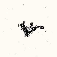 COC[C@@H](C)Nc1cc(OCCN2CCCC2)ccc1C(=O)Nc1nn(C(=O)OC)c2c1CN(S(=O)(=O)c1cc(F)cc(F)c1)CC2